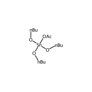 CCCC[O][Sn]([O]CCCC)([O]CCCC)[O]C(C)=O